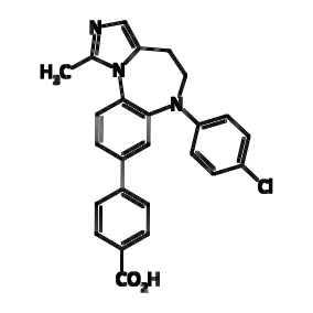 Cc1ncc2n1-c1ccc(-c3ccc(C(=O)O)cc3)cc1N(c1ccc(Cl)cc1)CC2